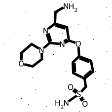 NCc1cc(Oc2ccc(CS(N)(=O)=O)cc2)nc(N2CCOCC2)n1